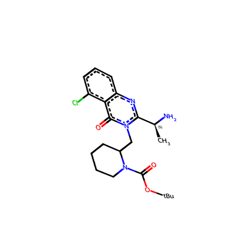 C[C@H](N)c1nc2cccc(Cl)c2c(=O)n1CC1CCCCN1C(=O)OC(C)(C)C